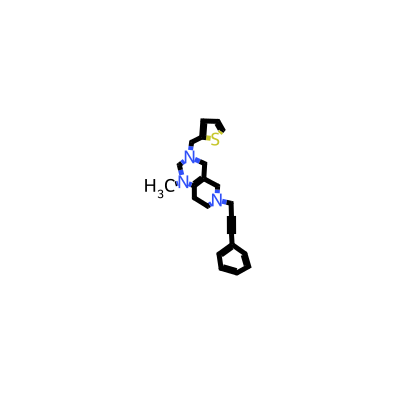 CN1CN(Cc2cccs2)CC2=C1CCN(CC#Cc1ccccc1)C2